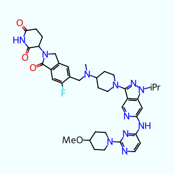 COC1CCN(c2nccc(Nc3cc4c(cn3)c(N3CCC(N(C)Cc5cc6c(cc5F)C(=O)N(C5CCC(=O)NC5=O)C6)CC3)nn4C(C)C)n2)CC1